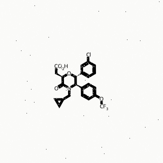 O=C(O)C[C@H]1O[C@H](c2cccc(Cl)c2)[C@@H](c2ccc(OC(F)(F)F)cc2)N(CC2CC2)C1=O